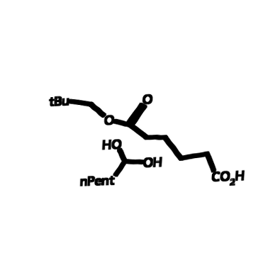 CC(C)(C)COC(=O)CCCCC(=O)O.CCCCCC(O)O